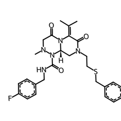 CC(C)=C1C(=O)N(CCSCc2ccccc2)C[C@H]2N1C(=O)CN(C)N2C(=O)NCc1ccc(F)cc1